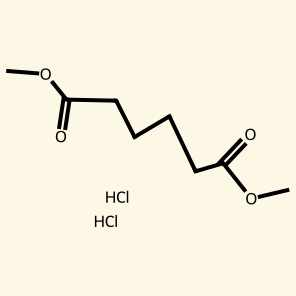 COC(=O)CCCCC(=O)OC.Cl.Cl